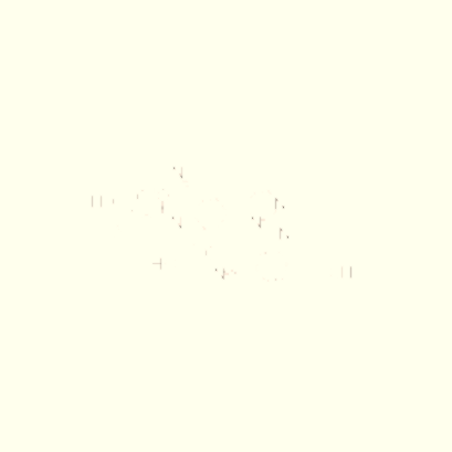 CCCc1ccc(C#N)cc1Nc1nccc(-c2cc(C#N)c3c(c2)[C@@](C)(CO)CN3C(=O)OC(C)(C)C)n1